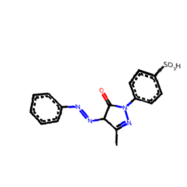 CC1=NN(c2ccc(S(=O)(=O)O)cc2)C(=O)C1N=Nc1ccccc1